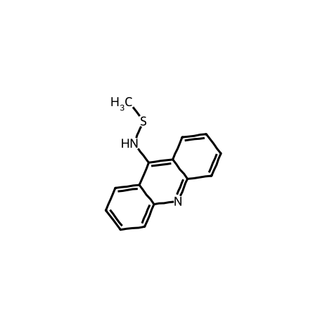 CSNc1c2ccccc2nc2ccccc12